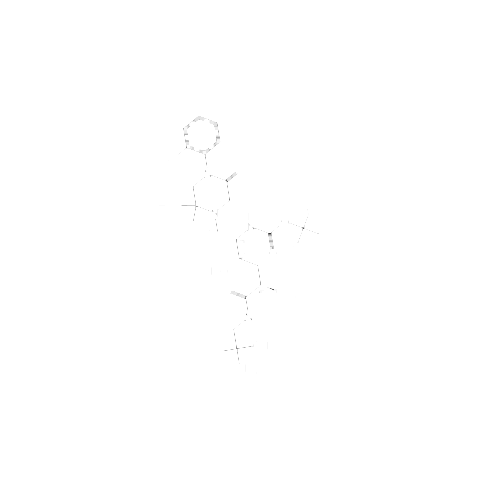 Cc1ccccc1N1CC(C)(C)N(C[C@H](NC(=O)OC(C)(C)C)[C@@H](O)C[C@@H](C)C(=O)NCC(C)(C)C)CC1=O